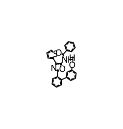 O=C(Nc1oc(-c2ccccc2-c2cccc(O)c2)nc1-c1cccs1)c1ccccc1